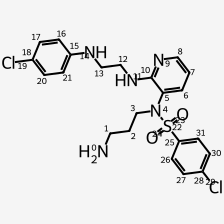 NCCCN(c1cccnc1NCCNc1ccc(Cl)cc1)S(=O)(=O)c1ccc(Cl)cc1